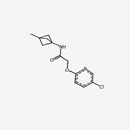 [CH2]C12CC(NC(=O)COc3ccc(Cl)cn3)(C1)C2